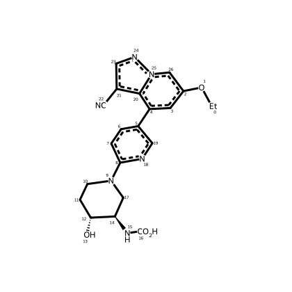 CCOc1cc(-c2ccc(N3CC[C@@H](O)[C@H](NC(=O)O)C3)nc2)c2c(C#N)cnn2c1